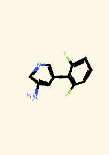 Nc1cncc(-c2c(F)cccc2F)c1